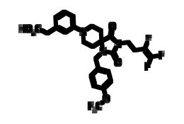 O=C(O)Cc1cccc(N2CCC3(CC2)C(=O)N(CCC(F)=C(F)F)C(=O)N3Cc2ccc(OC(F)(F)F)cc2)c1